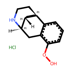 Cl.OOc1cccc2c1C[C@H]1NCC[C@@]23CCCC[C@@H]13